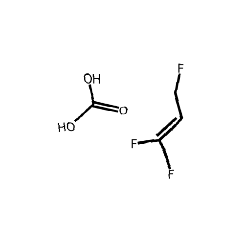 FCC=C(F)F.O=C(O)O